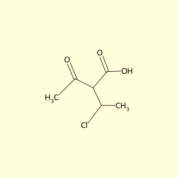 CC(=O)C(C(=O)O)C(C)Cl